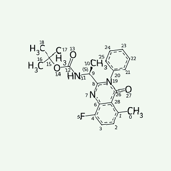 Cc1ccc(F)c2nc([C@H](C)NC(=O)OC(C)(C)C)n(-c3ccccc3)c(=O)c12